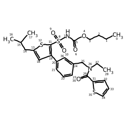 CCCCOC(=O)NS(=O)(=O)c1sc(CC(C)C)cc1-c1cccc(CN(CC)C(=O)c2cccs2)c1